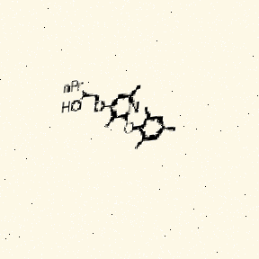 CCCC(O)COc1cc(C)nc(Oc2c(C)cc(C)cc2C)c1C